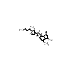 Cc1ccc(NS(=O)(=O)c2cnn(C(C)CCO)c2)c2[nH]cc(C#N)c12